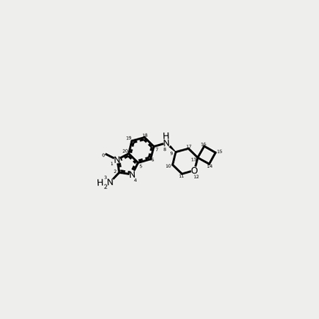 Cn1c(N)nc2cc(N[C@@H]3CCOC4(CCC4)C3)ccc21